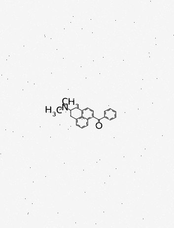 CN(C)C1Cc2cccc3c(C(=O)c4ccccc4)ccc(c23)C1